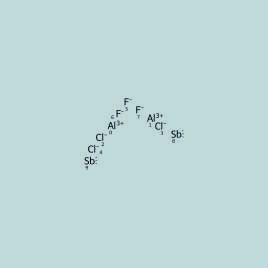 [Al+3].[Al+3].[Cl-].[Cl-].[Cl-].[F-].[F-].[F-].[Sb].[Sb]